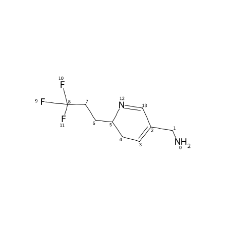 NCC1=CCC(CCC(F)(F)F)N=C1